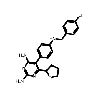 Nc1nc(N)c(-c2ccc(NCc3ccc(Cl)cc3)cc2)c(C2CCCO2)n1